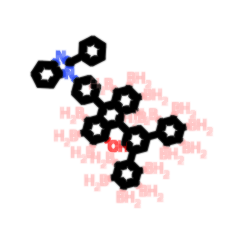 Bc1c(B)c(B)c(-c2cc(-c3c(B)c(B)c(B)c(B)c3B)cc(-c3c4c(B)c(B)c(B)c(B)c4c(-c4ccc(-n5c(-c6ccccc6)nc6ccccc65)cc4)c4c(B)c(B)c(B)c(O)c34)c2)c(B)c1B